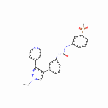 CCn1cc(-c2cccc(NC(=O)Nc3cccc(S(C)(=O)=O)c3)c2)c(-c2ccncc2)n1